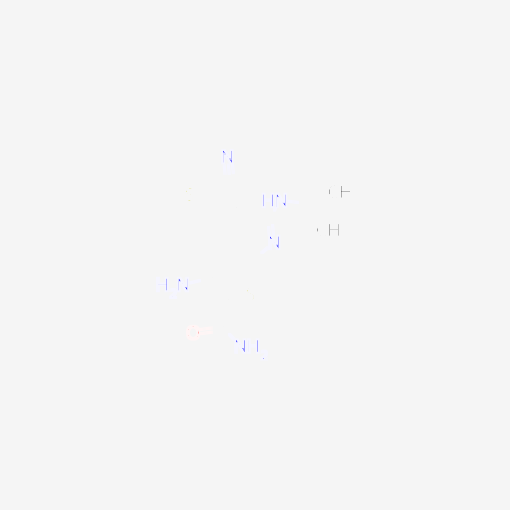 CC(C)Nc1nc2sc(C(N)=O)c(N)c2c(-c2cccs2)c1C#N